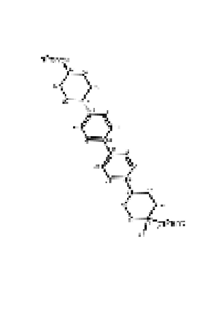 CCCCCC1(F)CCC(c2ccc(-c3ccc([C@H]4CC[C@H](CCCCC)CC4)cc3)cc2)CC1